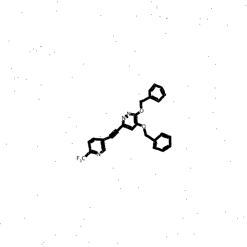 FC(F)(F)c1ccc(C#Cc2cc(OCc3ccccc3)c(OCc3ccccc3)nn2)cn1